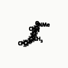 CNC(=O)c1cnc(N2CCN(C3CCN(Cc4ccc(Cl)cc4)CC3C)CC2)c(Cl)c1